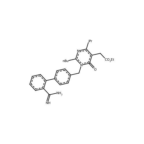 CCCCc1nc(C(C)C)c(CC(=O)OCC)c(=O)n1Cc1ccc(-c2ccccc2C(=N)N)cc1